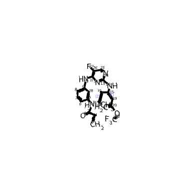 C=CC(=O)Nc1cccc(Nc2nc(NC(/C=C\C)=C/C(=C)OC(F)(F)F)ncc2F)c1